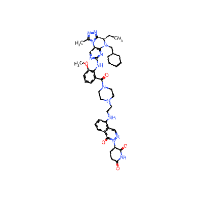 CC[C@@H]1c2nnc(C)n2-c2cnc(Nc3c(OC)cccc3C(=O)N3CCN(CCNc4cccc5c(=O)n(C6CCC(=O)NC6=O)ncc45)CC3)nc2N1CC1CCCCC1